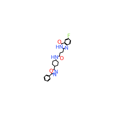 O=C(CCc1nc2ccc(F)cc2c(=O)[nH]1)NC1CCC(c2nnc(-c3ccccc3)o2)CC1